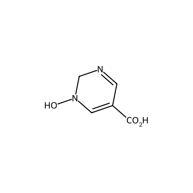 O=C(O)C1=CN(O)CN=C1